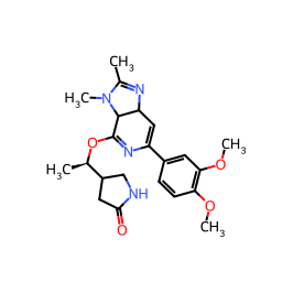 COc1ccc(C2=CC3N=C(C)N(C)C3C(O[C@H](C)C3CNC(=O)C3)=N2)cc1OC